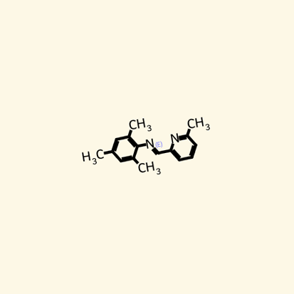 Cc1cc(C)c(/N=C/c2cccc(C)n2)c(C)c1